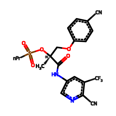 CCCS(=O)(=O)O[C@@](C)(COc1ccc(C#N)cc1)C(=O)Nc1cnc(C#N)c(C(F)(F)F)c1